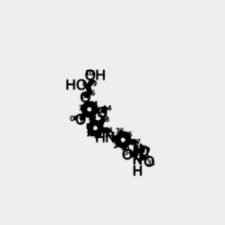 COc1cc(OC[C@H](O)CO)cc(OC)c1-c1cccc(CNc2ccc(Cn3oc(=O)[nH]c3=O)cc2)c1C